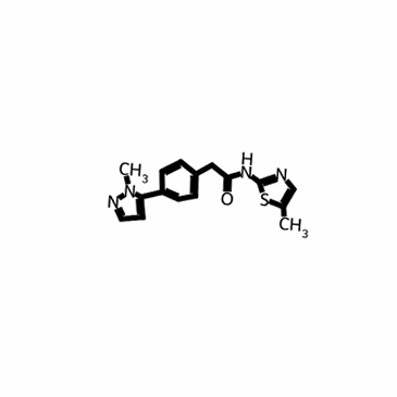 Cc1cnc(NC(=O)Cc2ccc(-c3ccnn3C)cc2)s1